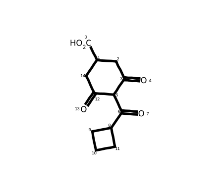 O=C(O)C1CC(=O)C(C(=O)C2CCC2)C(=O)C1